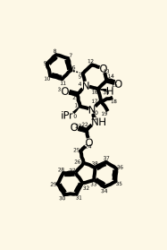 CC(C)[C@H]1C(=O)N2[C@H](c3ccccc3)COC(=O)[C@@H]2C(C)(C)N1NC(=O)OCC1c2ccccc2-c2ccccc21